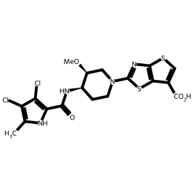 CO[C@H]1CN(c2nc3scc(C(=O)O)c3s2)CC[C@H]1NC(=O)c1[nH]c(C)c(Cl)c1Cl